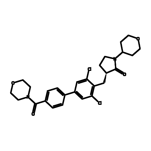 O=C(c1ccc(-c2cc(Cl)c(C[C@@H]3CCN(C4CCOCC4)C3=O)c(Cl)c2)cc1)N1CCOCC1